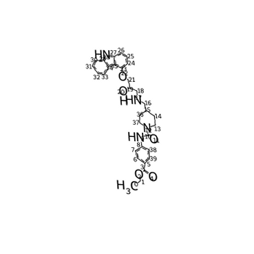 CCOC(=O)c1ccc(NC(=O)N2CCC(CNCC(O)COc3cccc4[nH]c5ccccc5c34)CC2)cc1